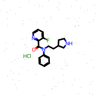 Cl.O=C(c1ncccc1F)N(CCC1CCNC1)c1ccccc1